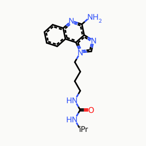 CC(C)NC(=O)NCCCCn1cnc2c(N)nc3ccccc3c21